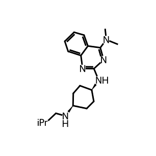 CC(C)CN[C@H]1CC[C@@H](Nc2nc(N(C)C)c3ccccc3n2)CC1